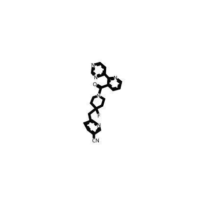 N#Cc1ccc(CC2(F)CCN(C(=O)c3cccnc3-c3ccncn3)CC2)nc1